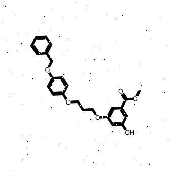 COC(=O)c1cc(O)cc(OCCCOc2ccc(OCc3ccccc3)cc2)c1